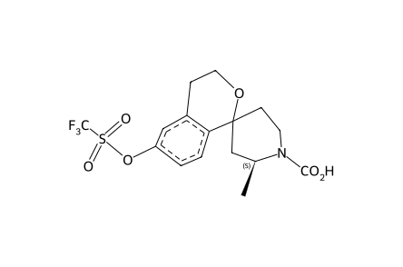 C[C@H]1CC2(CCN1C(=O)O)OCCc1cc(OS(=O)(=O)C(F)(F)F)ccc12